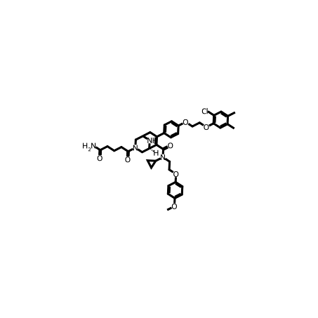 COc1ccc(OCCN(C(=O)C2=C(c3ccc(OCCOc4cc(C)c(C)cc4Cl)cc3)CC3CN(C(=O)CCCC(N)=O)C[C@H]2N3)C2CC2)cc1